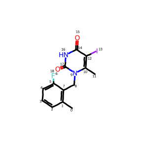 Cc1cccc(F)c1Cn1c(C)c(I)c(=O)[nH]c1=O